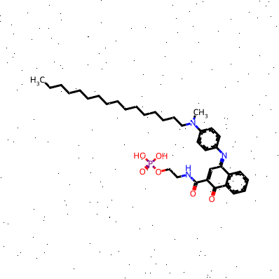 CCCCCCCCCCCCCCCCN(C)c1ccc(/N=C2\C=C(C(=O)NCCOP(=O)(O)O)C(=O)c3ccccc32)cc1